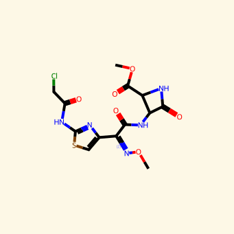 CO/N=C(\C(=O)NC1C(=O)NC1C(=O)OC)c1csc(NC(=O)CCl)n1